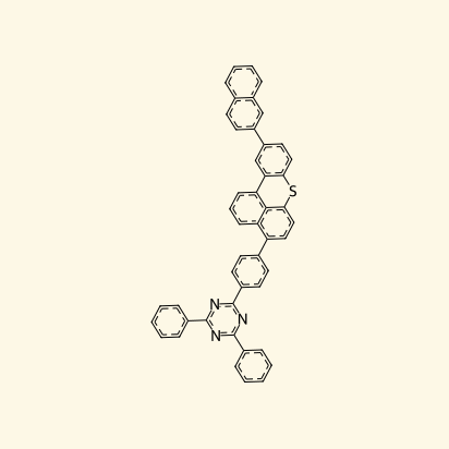 c1ccc(-c2nc(-c3ccccc3)nc(-c3ccc(-c4ccc5c6c(cccc46)-c4cc(-c6ccc7ccccc7c6)ccc4S5)cc3)n2)cc1